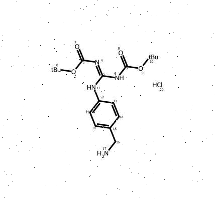 CC(C)(C)OC(=O)N=C(NC(=O)OC(C)(C)C)Nc1ccc(CN)cc1.Cl